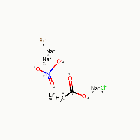 CC(=O)[O-].O=[N+]([O-])[O-].[Br-].[Cl-].[Li+].[Na+].[Na+].[Na+]